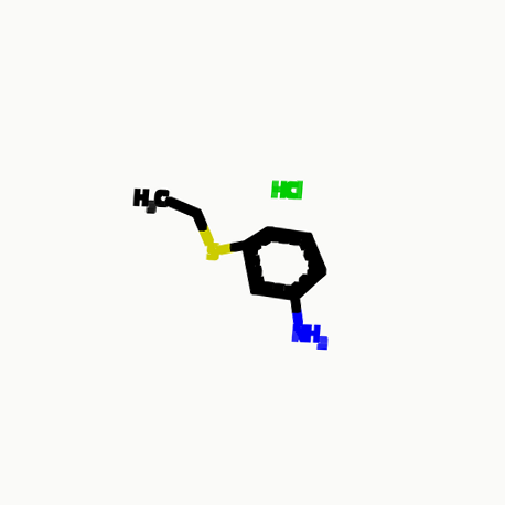 CCSc1cccc(N)c1.Cl